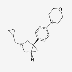 c1cc([C@@]23C[C@@H]2CN(CC2CC2)C3)ccc1N1CCOCC1